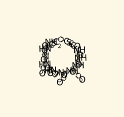 COc1ccc(CC[C@@H]2NC(=O)[C@@H](CC(C)C)NC(=O)[C@H](CC(C)C)NC(=O)CCSCc3cccc(c3)CSC[C@@H](C(N)=O)NC(=O)[C@]3(C)CCCN3C(=O)[C@H](Cc3ccc(OC)cc3)NC(=O)[C@H]([C@@H](C)OC)NC(=O)[C@H](CC(C)C)N(C)C(=O)[C@H](Cc3ccc(OC)cc3)NC2=O)cc1